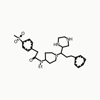 CCN(C(=O)Cc1ccc(S(C)(=O)=O)cc1)C1CCN(C(CCc2ccccc2)C2CNCCN2)CC1